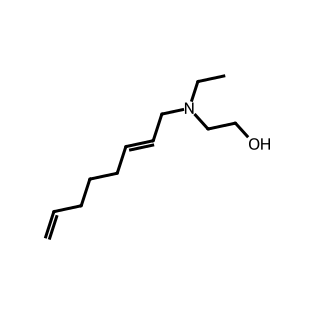 C=CCCCC=CCN(CC)CCO